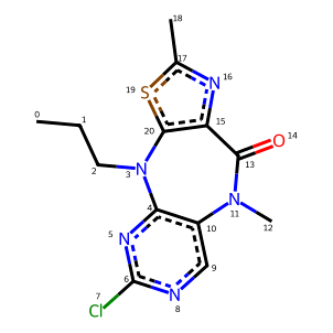 CCCN1c2nc(Cl)ncc2N(C)C(=O)c2nc(C)sc21